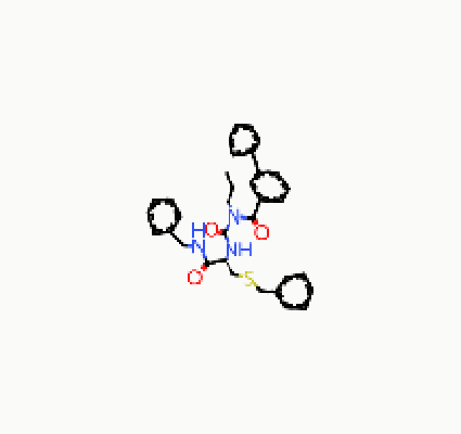 CCCN(C(=O)N[C@@H](CSCc1ccccc1)C(=O)NCc1ccccc1)C(=O)c1cccc(-c2ccccc2)c1